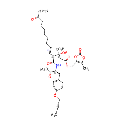 CC#CCOc1ccc(C[C@H](NC(=O)[C@@H](/C=C/CCCCCCC(=O)CCCCCCC)[C@@](O)(CC(=O)OCc2oc(=O)oc2C)C(=O)O)C(=O)OC)cc1